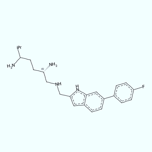 CC(C)C(N)CC[C@H](N)CNCc1cc2ccc(-c3ccc(F)cc3)cc2[nH]1